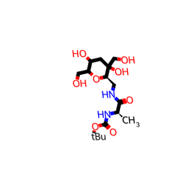 C[C@H](NC(=O)OC(C)(C)C)C(=O)NC[C@H]1OC(CO)C(O)CC1(O)CO